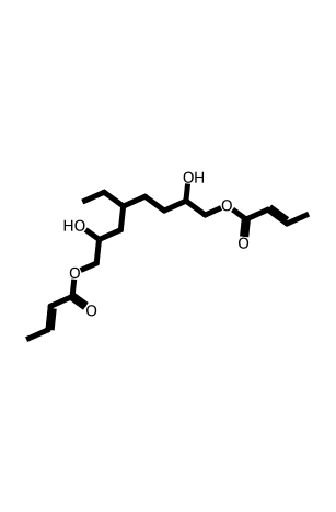 CC=CC(=O)OCC(O)CCC(CC)CC(O)COC(=O)C=CC